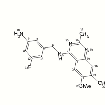 COc1cc2c(NCc3cc(N)cc(F)c3)nc(C)nc2cc1C=O